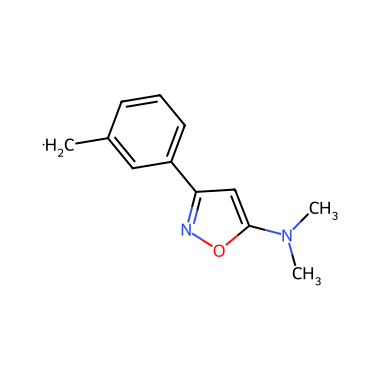 [CH2]c1cccc(-c2cc(N(C)C)on2)c1